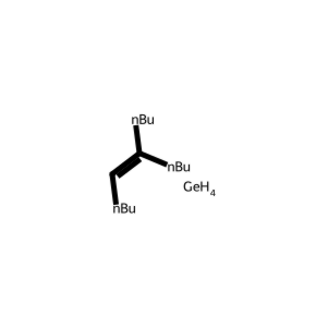 CCCCC=C(CCCC)CCCC.[GeH4]